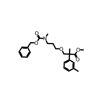 COC(=O)C(C)(COCCCN(C)C(=O)OCc1ccccc1)c1cccc(C)c1